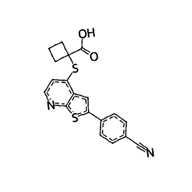 N#Cc1ccc(-c2cc3c(SC4(C(=O)O)CCC4)ccnc3s2)cc1